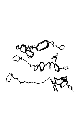 Clc1ccc2c(NCCCCCCCCCCCCN3CCCCC3)ccnc2c1.Clc1ccc2c(NCCc3ccc(OCCCN4CCCCC4)cc3)ccnc2c1.Clc1ccc2c(Nc3ccc(OCCCN4CCCCC4)cc3)ccnc2c1